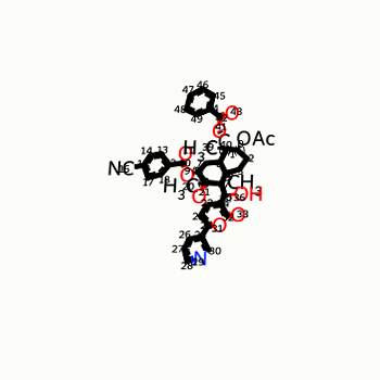 CC(=O)O[C@H]1CC[C@@]2(C)C(C[C@H](OC(=O)c3ccc(C#N)cc3)[C@@]3(C)Oc4cc(-c5cccnc5)oc(=O)c4[C@H](O)C23)[C@]1(C)COC(=O)c1ccccc1